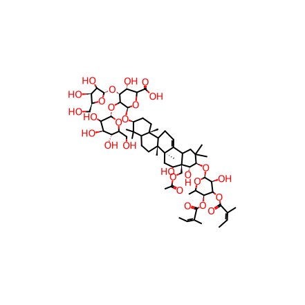 C/C=C(/C)C(=O)OC1[C@@H](OC(=O)/C(C)=C\C)C(C)O[C@@H](O[C@H]2[C@H](O)[C@@]3(COC(C)=O)C(CC2(C)C)C2=CCC4[C@@]5(C)CC[C@H](O[C@@H]6OC(C(=O)O)[C@@H](O)[C@@H](O[C@@H]7O[C@@H](CO)[C@@H](O)C7O)C6O[C@@H]6OC(CO)[C@H](O)[C@@H](O)C6O)C(C)(C)C5CC[C@@]4(C)[C@]2(C)C[C@H]3O)[C@H]1O